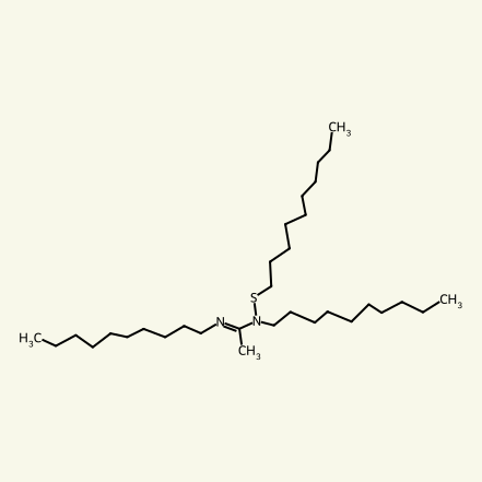 CCCCCCCCCC/N=C(\C)N(CCCCCCCCCC)SCCCCCCCCCC